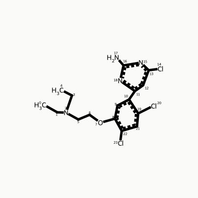 CCN(CC)CCOc1cc(-c2cc(Cl)nc(N)n2)c(Cl)cc1Cl